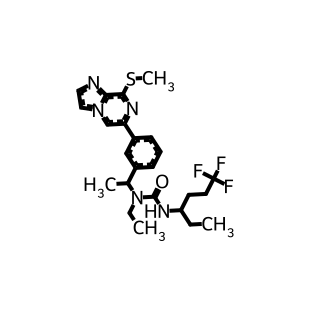 CCC(CCC(F)(F)F)NC(=O)N(CC)C(C)c1cccc(-c2cn3ccnc3c(SC)n2)c1